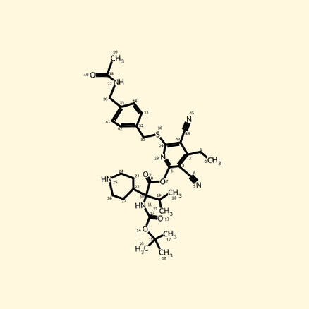 CCc1c(C#N)c(OC(=O)C(NC(=O)OC(C)(C)C)(C(C)C)C2CCNCC2)nc(SCc2ccc(CNC(C)=O)cc2)c1C#N